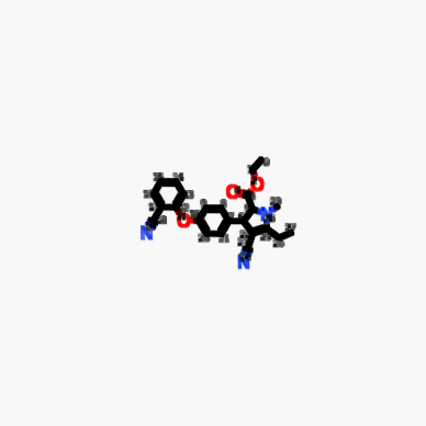 CCOC(=O)C1C(c2ccc(Oc3ccccc3C#N)cc2)C(C#N)=C(CC)N1C